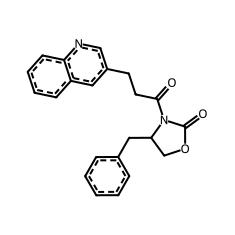 O=C(CCc1cnc2ccccc2c1)N1C(=O)OCC1Cc1ccccc1